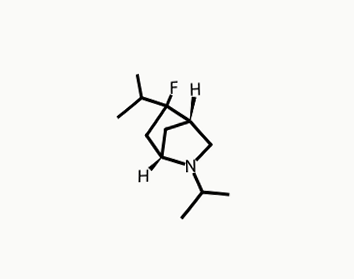 CC(C)N1C[C@@H]2C[C@H]1CC2(F)C(C)C